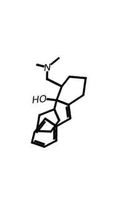 CN(C)CC1CCC/C(=C/c2ccccc2)C1(O)C1CCCC1